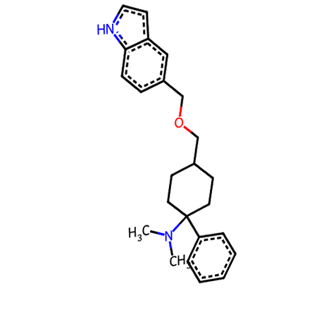 CN(C)C1(c2ccccc2)CCC(COCc2ccc3[nH]ccc3c2)CC1